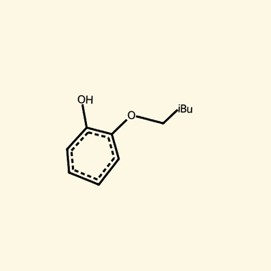 CCC(C)COc1ccccc1O